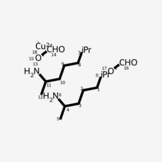 CC(C)CCCC(C)N.CC(C)CCCC(C)N.O=C[O-].O=C[O-].[Cu+2]